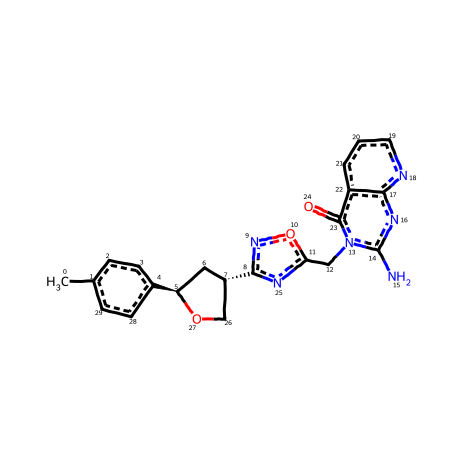 Cc1ccc([C@H]2C[C@H](c3noc(Cn4c(N)nc5ncccc5c4=O)n3)CO2)cc1